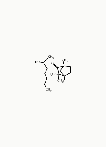 CC1(C)C(=O)[C@]2(C)CC[C@H]1C2.CCCCCC(C)O